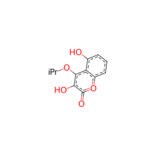 CC(C)Oc1c(O)c(=O)oc2cccc(O)c12